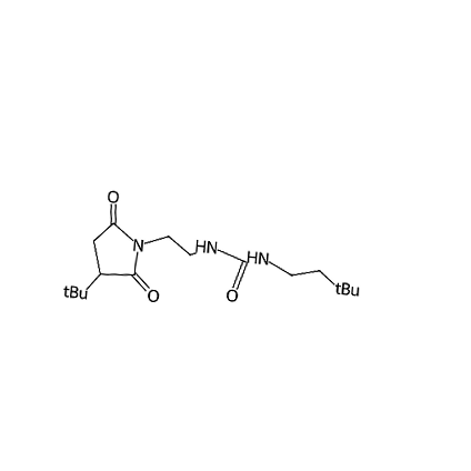 CC(C)(C)CCNC(=O)NCCN1C(=O)CC(C(C)(C)C)C1=O